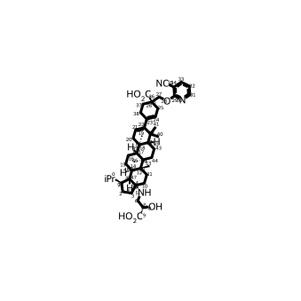 CC(C)[C@@H]1CC[C@]2(NC[C@H](O)C(=O)O)CC[C@]3(C)[C@H](CC[C@@H]4[C@@]5(C)CC=C(C6=CC[C@](COc7ncccc7C#N)(C(=O)O)CC6)C(C)(C)[C@@H]5CC[C@]43C)[C@@H]12